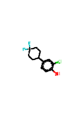 Oc1ccc(C2CCC(F)(F)CC2)cc1Cl